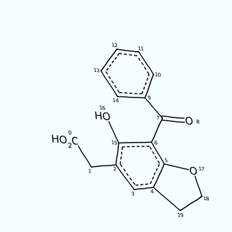 O=C(O)Cc1cc2c(c(C(=O)c3ccccc3)c1O)OCC2